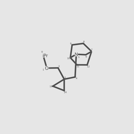 CC(C)OCC1(CN2CC3CCC2CC3)CC1